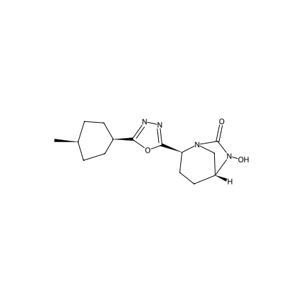 C[C@H]1CC[C@@H](c2nnc([C@@H]3CC[C@@H]4CN3C(=O)N4O)o2)CC1